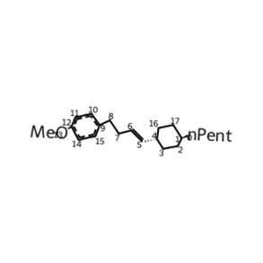 CCCCC[C@H]1CC[C@H](/C=C/CCc2ccc(OC)cc2)CC1